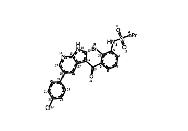 CCCS(=O)(=O)Nc1cccc(C(=O)c2c[nH]c3ncc(-c4ccc(Cl)cc4)cc23)c1Br